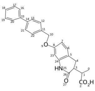 CC(C(=O)O)C1Cc2ccc(OCc3ccc(-c4ccccc4)cc3)cc2NC1=O